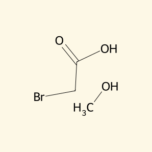 CO.O=C(O)CBr